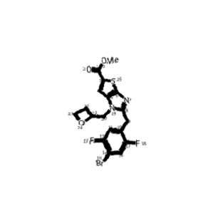 COC(=O)c1cc2c(nc(Cc3cc(F)c(Br)cc3F)n2CC2CCO2)s1